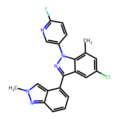 Cc1cc(Cl)cc2c(-c3cccc4nn(C)cc34)nn(-c3ccc(F)nc3)c12